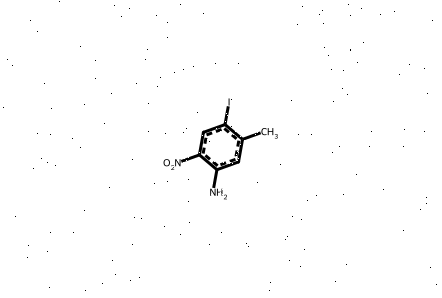 Cc1cc(N)c([N+](=O)[O-])cc1I